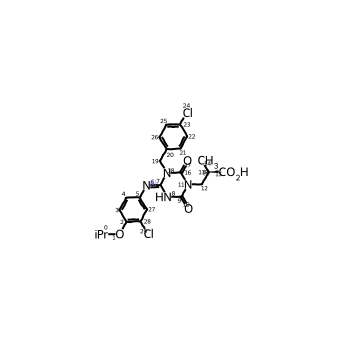 CC(C)Oc1ccc(/N=c2\[nH]c(=O)n(C[C@@H](C)C(=O)O)c(=O)n2Cc2ccc(Cl)cc2)cc1Cl